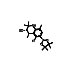 Cc1cc(B2OC(C)(C)C(C)(C)O2)c(Cl)c2c1NC(C)(C)[C@@H](O)[C@@H]2C